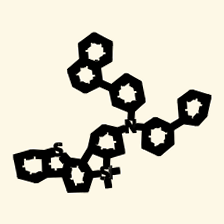 C[Si]1(C)c2cc(N(c3cccc(-c4ccccc4)c3)c3cccc(-c4cccc5ccccc45)c3)ccc2-c2c1ccc1c2sc2ccccc21